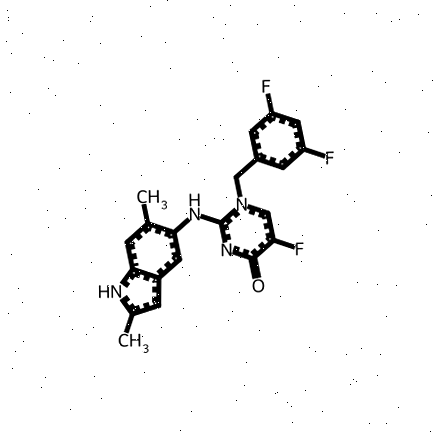 Cc1cc2cc(Nc3nc(=O)c(F)cn3Cc3cc(F)cc(F)c3)c(C)cc2[nH]1